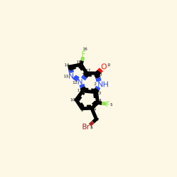 O=c1[nH]c2c(F)c(CBr)ccc2n2ncc(F)c12